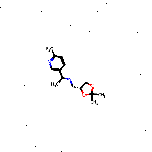 CC(NC[C@@H]1COC(C)(C)O1)c1ccc(C(F)(F)F)nc1